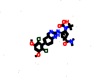 COc1cc(OC)c(Cl)c(-c2ccc3nc(N[C@@H]4C[C@@H](C(=O)N(C)C)C[C@@H]4N(C(=O)O)C(C)(C)C)ncc3c2)c1Cl